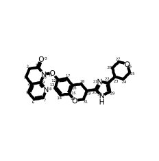 O=C1CCc2cccnc2N1Oc1ccc2c(c1)CC(c1nc(C3CCOCC3)c[nH]1)CO2